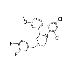 COc1cccc(C2CN(Cc3ccc(F)c(F)c3)CCN2c2ccc(Cl)cc2Cl)c1